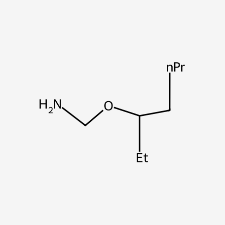 CCCCC(CC)OCN